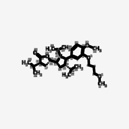 COCCCOc1cc(C2[C@H](C(C)C)C[C@@H]([C@@H]3C[C@@H](C(C)C)C(=O)O3)N2N(C)C)ccc1OC